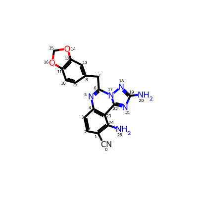 N#Cc1ccc2nc(Cc3ccc4c(c3)OCO4)n3nc(N)nc3c2c1N